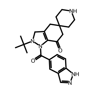 CC(C)(C)N1CC2=C(C(=O)CC3(CCNCC3)C2)N1C(=O)c1ccc2[nH]ncc2c1